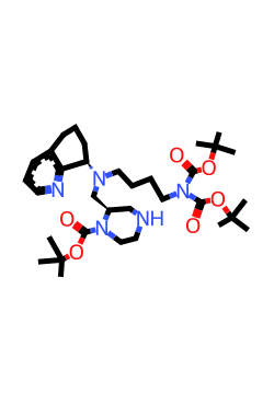 CC(C)(C)OC(=O)N(CCCCN(C[C@H]1CNCCN1C(=O)OC(C)(C)C)[C@H]1CCCc2cccnc21)C(=O)OC(C)(C)C